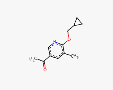 CC(=O)c1cnc(OCC2CC2)c(C)c1